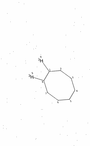 [2H]C1CCCCCCC1[2H]